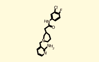 Nc1ncccc1CN1CCCC(CC(=O)Nc2ccc(F)c(Cl)c2)C1